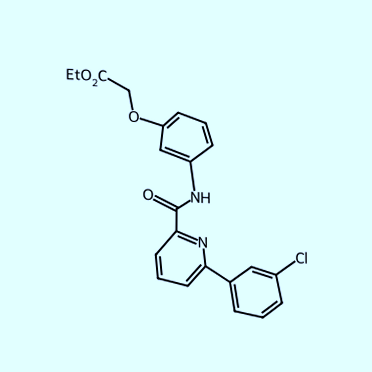 CCOC(=O)COc1cccc(NC(=O)c2cccc(-c3cccc(Cl)c3)n2)c1